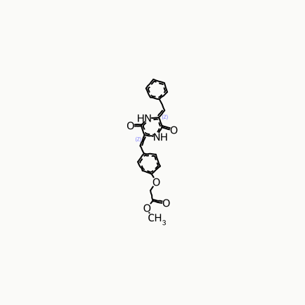 COC(=O)COc1ccc(/C=c2\[nH]c(=O)/c(=C/c3ccccc3)[nH]c2=O)cc1